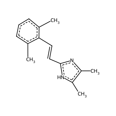 Cc1cccc(C)c1C=Cc1nc(C)c(C)[nH]1